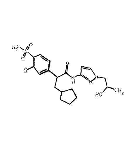 CC(O)Cn1ccc(NC(=O)C(CC2CCCC2)c2ccc(S(C)(=O)=O)c(Cl)c2)n1